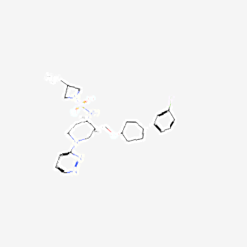 CC1CN(S(=O)(=O)N[C@H]2CCN(c3cccnn3)C[C@H]2CO[C@H]2CC[C@@H](c3cccc(F)c3)CC2)C1